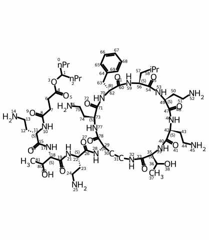 CCCC(CCC)OC(=O)CCC(=O)N[C@@H](CCN)C(=O)N[C@H](C(=O)N[C@@H](CCN)C(=O)N[C@H]1CCNC(=O)[C@H](C(C)O)NC(=O)[C@H](CCN)NC(=O)[C@H](CCN)NC(=O)[C@H](CC(C)C)NC(=O)[C@@H](Cc2ccccc2)NC(=O)[C@H](CCN)NC1=O)C(C)O